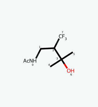 CC(=O)NCC(C(C)(C)O)C(F)(F)F